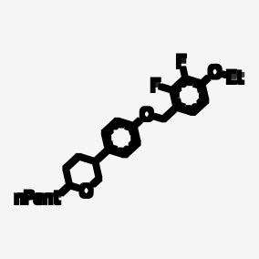 CCCCCC1CCC(c2ccc(OCc3ccc(OCC)c(F)c3F)cc2)CO1